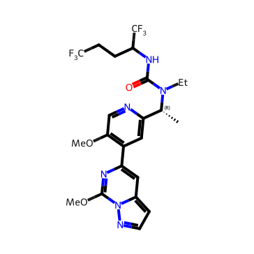 CCN(C(=O)NC(CCC(F)(F)F)C(F)(F)F)[C@H](C)c1cc(-c2cc3ccnn3c(OC)n2)c(OC)cn1